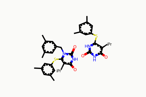 Cc1cc(C)cc(Cn2c(Sc3cc(C)cc(C)c3)c(C(C)C)c(=O)[nH]c2=O)c1.Cc1cc(C)cc(Sc2[nH]c(=O)[nH]c(=O)c2C(C)C)c1